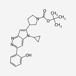 CC(C)(C)OC(=O)N1CCC(c2cc3nnc(-c4ccccc4O)cc3n2C2CC2)C1